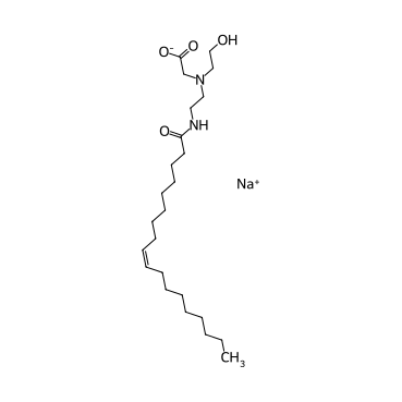 CCCCCCCC/C=C\CCCCCCCC(=O)NCCN(CCO)CC(=O)[O-].[Na+]